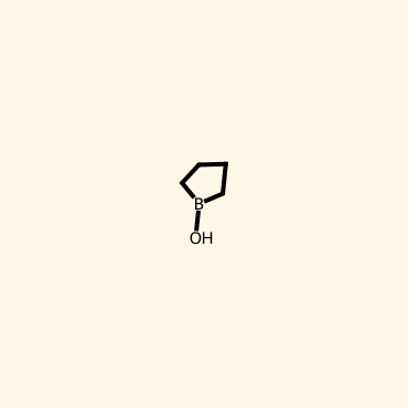 OB1CCCC1